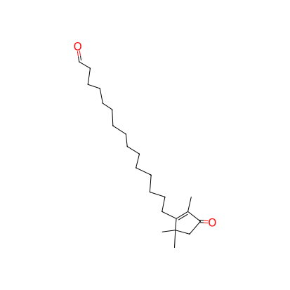 CC1=C(CCCCCCCCCCCCCCC=O)C(C)(C)CC1=O